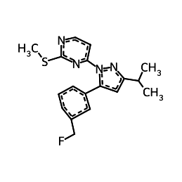 CSc1nccc(-n2nc(C(C)C)cc2-c2cccc(CF)c2)n1